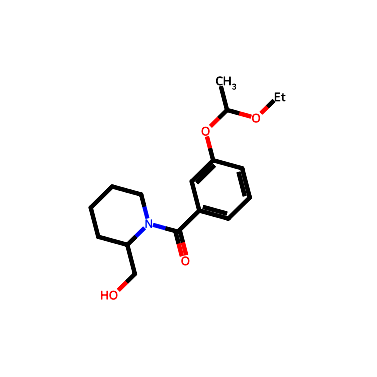 CCOC(C)Oc1cccc(C(=O)N2CCCCC2CO)c1